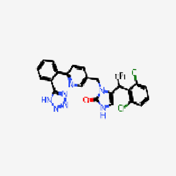 CCCC(c1c(Cl)cccc1Cl)c1c[nH]c(=O)n1Cc1ccc(-c2ccccc2-c2nnn[nH]2)nc1